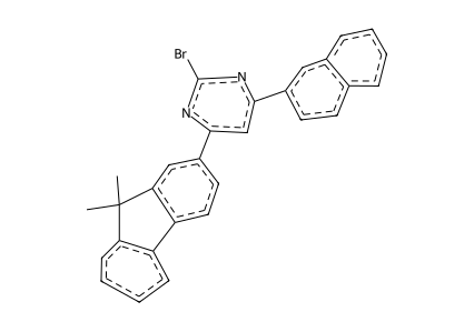 CC1(C)c2ccccc2-c2ccc(-c3cc(-c4ccc5ccccc5c4)nc(Br)n3)cc21